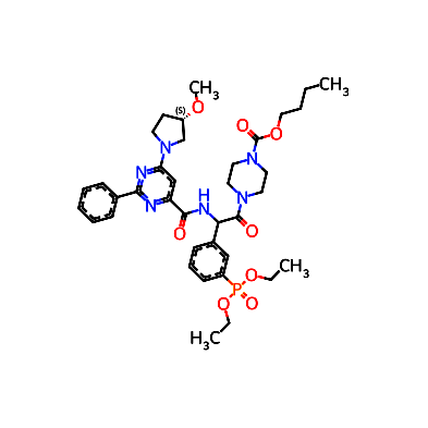 CCCCOC(=O)N1CCN(C(=O)C(NC(=O)c2cc(N3CC[C@H](OC)C3)nc(-c3ccccc3)n2)c2cccc(P(=O)(OCC)OCC)c2)CC1